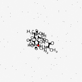 CCC[N+](CCC)(C(P(=O)(O)O)P(=O)(O)O)C(P(=O)(O)O)P(=O)(O)O.C[C@H](N)C(=O)O